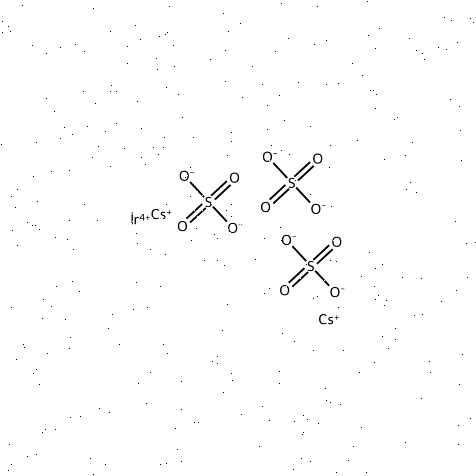 O=S(=O)([O-])[O-].O=S(=O)([O-])[O-].O=S(=O)([O-])[O-].[Cs+].[Cs+].[Ir+4]